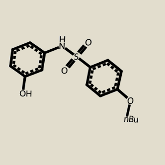 CCCCOc1ccc(S(=O)(=O)Nc2cccc(O)c2)cc1